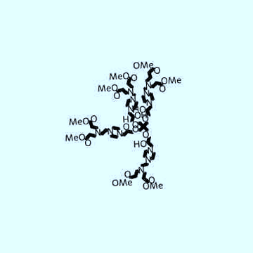 COC(=O)CCCN(CCC(=O)OC)CN1CCN(CC(O)COCC(COCC(O)CN2CCN(CCN(CCC(=O)OC)CCC(=O)OC)CC2)(COCC(O)CN2CCN(CCN(CCC(=O)OC)CCC(=O)OC)CC2)COCC(O)CN2CCN(CN(CCC(=O)OC)CCC(=O)OC)CC2)CC1